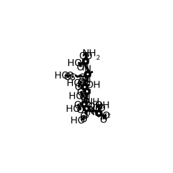 Cc1cc(N=Nc2c(S(=O)(=O)O)cc3c(S(=O)(=O)O)c(N=Nc4cc(S(=O)(=O)O)c5cc(SOOO)c(N=Nc6ccc([N+](=O)[O-])cc6S(=O)(=O)O)c(O)c5c4N)ccc3c2O)c(OCCCSOOO)cc1N=Nc1ccc(S(N)(=O)=O)cc1C(=O)O